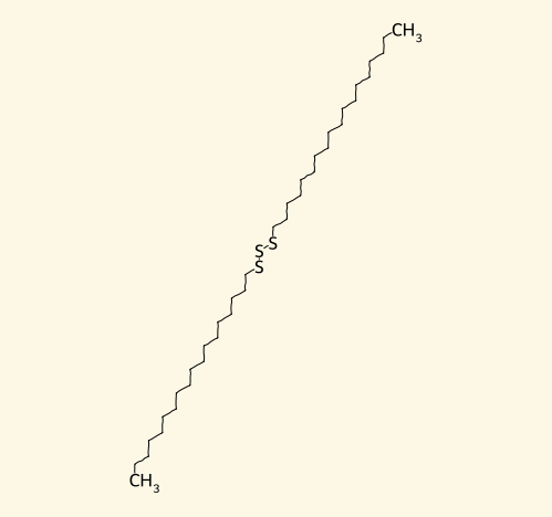 CCCCCCCCCCCCCCCCCCSSSCCCCCCCCCCCCCCCCCC